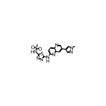 Cn1cc(-c2cnc3ccc(Nc4nnc(NS(C)(=O)=O)s4)nc3c2)cn1